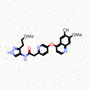 COCCc1n[nH]cc1NC(=O)Cc1ccc(Oc2ccnc3cc(OC)c(C#N)cc23)cn1